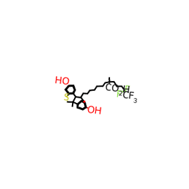 CC(CCCCCCCC(C)(CCCC(F)(F)C(F)(F)F)C(=O)O)C1c2ccc(O)cc2SCC1(C)c1ccc(O)cc1